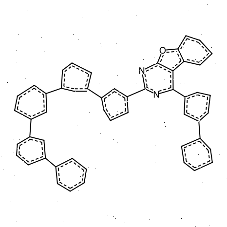 c1ccc(-c2cccc(-c3cccc(-c4cccc(-c5cccc(-c6nc(-c7cccc(-c8ccccc8)c7)c7c(n6)oc6ccccc67)c5)c4)c3)c2)cc1